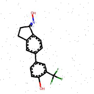 O/N=C1\CCc2cc(-c3ccc(O)c(C(F)(F)F)c3)ccc21